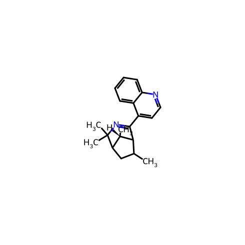 CC1CC2[C@H](C)C1C(c1ccnc3ccccc13)=NC2(C)C